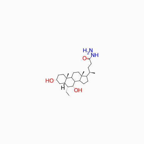 CC[C@H]1[C@@H](O)C2C3CCC([C@H](C)CCC(=O)NN)[C@@]3(C)CCC2[C@@]2(C)CC[C@@H](O)C[C@@H]12